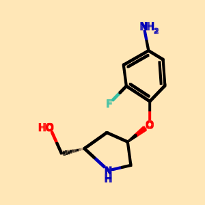 Nc1ccc(O[C@H]2CN[C@H](CO)C2)c(F)c1